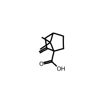 C=C1CC2CCC1(C(=O)O)C2(C)C